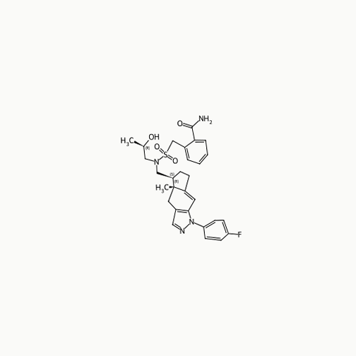 C[C@@H](O)CN(C[C@H]1CCC2=Cc3c(cnn3-c3ccc(F)cc3)C[C@@]21C)S(=O)(=O)Cc1ccccc1C(N)=O